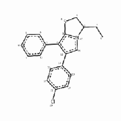 CCC1CSc2c(-c3ccccc3)c(-c3ccc(Cl)cc3)cn21